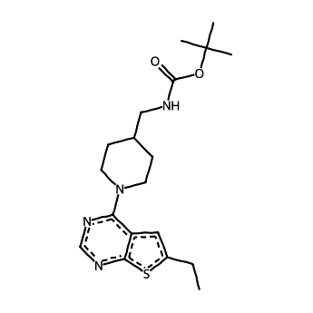 CCc1cc2c(N3CCC(CNC(=O)OC(C)(C)C)CC3)ncnc2s1